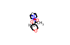 CC(C)N1CC2CC(C1)N2C(=O)OC1CCOCC1